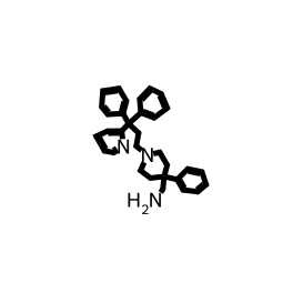 NCC1(c2ccccc2)CCN(CCC(c2ccccc2)(c2ccccc2)c2ccccn2)CC1